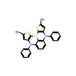 CC(C)(C)c1cc2c(s1)B1c3sc(C(C)(C)C)cc3N(c3ccccc3)c3cccc(c31)N2c1ccccc1